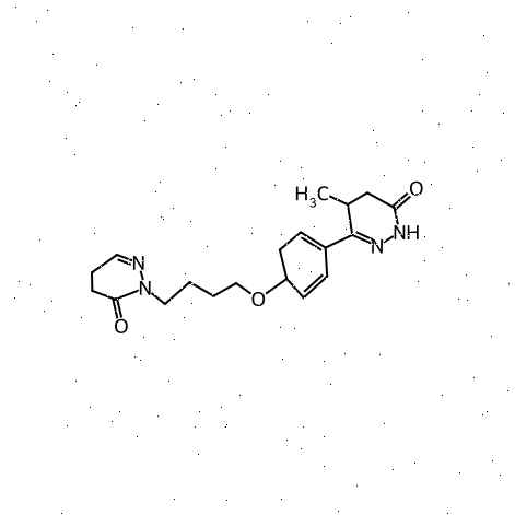 CC1CC(=O)NN=C1C1=CCC(OCCCCN2N=CCCC2=O)C=C1